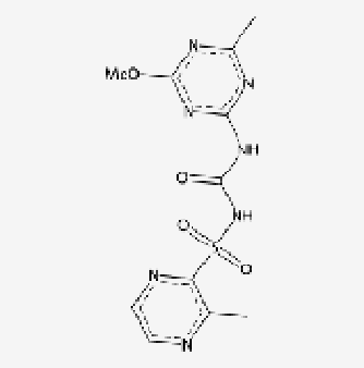 COc1nc(C)nc(NC(=O)NS(=O)(=O)c2nccnc2C)n1